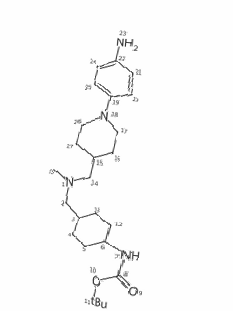 CN(CC1CCC(NC(=O)OC(C)(C)C)CC1)CC1CCN(c2ccc(N)cc2)CC1